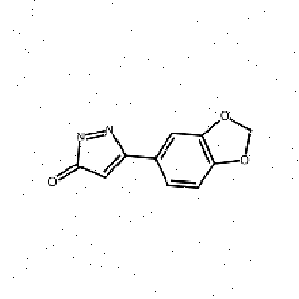 O=C1C=C(c2ccc3c(c2)OCO3)N=N1